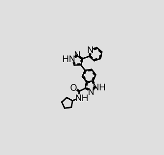 O=C(NC1CCCC1)c1n[nH]c2ccc(-c3c[nH]nc3-c3ccccn3)cc12